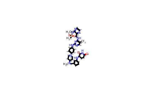 CN(Cc1cccc(NC2CCC(=O)NC2=O)c1)C1CCN(c2ccc(Nc3ncc(C(F)(F)F)c(NCc4nccnc4N(C)S(C)(=O)=O)n3)cc2)CC1